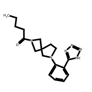 CCCCC(=O)N1CC2(CCN(c3ccccc3-c3nnn[nH]3)C2)C1